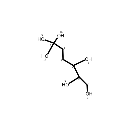 OCC(O)C(O)CCC(O)(O)O